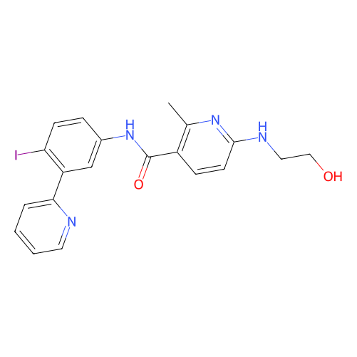 Cc1nc(NCCO)ccc1C(=O)Nc1ccc(I)c(-c2ccccn2)c1